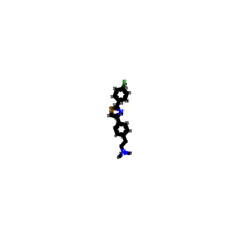 CN(C)CCc1ccc(-c2csc(-c3ccc(F)cc3)n2)cc1